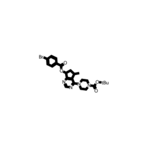 CC1CC(OC(=O)c2ccc(Br)cc2)c2ncnc(N3CCN(C(=O)OC(C)(C)C)CC3)c21